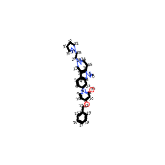 Cn1c2c(c3ccc(-n4ccc(OCc5ccccc5)cc4=O)cc31)CN(CCN1CCCC1)CC2